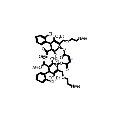 CCOC(=O)C1=C(COCCNC)N(OC(=O)/C=C\C(=O)ON2C(C)=C(C(=O)OC)C(c3ccccc3Cl)C(C(=O)OCC)=C2COCCNC)C(C)=C(C(=O)OC)C1c1ccccc1Cl